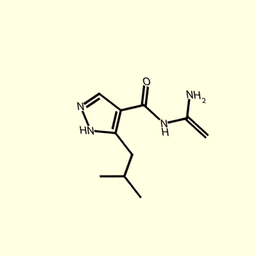 C=C(N)NC(=O)c1cn[nH]c1CC(C)C